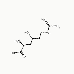 N=C(N)NCCC(O)C[C@H](N)C(=O)O